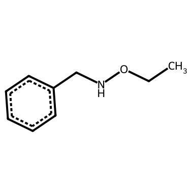 CCONCc1ccccc1